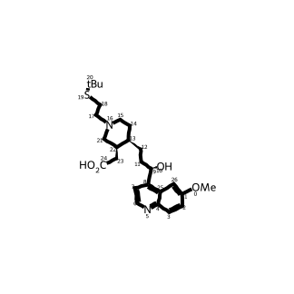 COc1ccc2nccc([C@@H](O)CC[C@@H]3CCN(CCSC(C)(C)C)C[C@@H]3CC(=O)O)c2c1